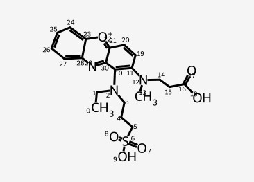 CCN(CCCS(=O)(=O)O)c1c(N(C)CCC(=O)O)ccc2[o+]c3ccccc3nc12